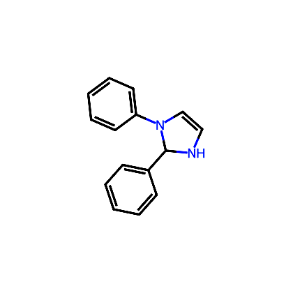 C1=CN(c2ccccc2)C(c2ccccc2)N1